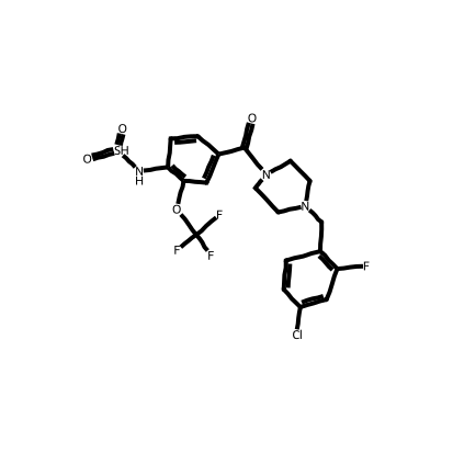 O=C(c1ccc(N[SH](=O)=O)c(OC(F)(F)F)c1)N1CCN(Cc2ccc(Cl)cc2F)CC1